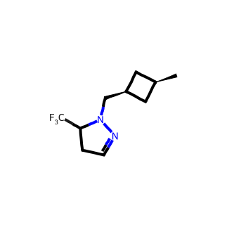 C[C@H]1C[C@@H](CN2N=CCC2C(F)(F)F)C1